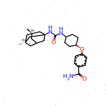 C[C@]12CC3CC(NC(=O)NC4CCC(Oc5ccc(C(N)=O)cc5)CC4)(C1)C[C@@](C)(C3)C2